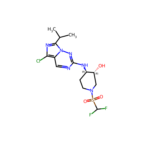 CC(C)c1nc(Cl)c2cnc(N[C@@H]3CCN(S(=O)(=O)C(F)F)C[C@H]3O)nn12